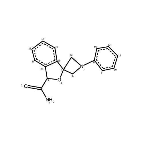 NC(=O)C1OC2(CN(c3ccccc3)C2)c2ccccc21